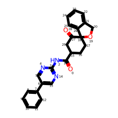 O=C(Nc1ncc(-c2ccccc2)cn1)C1CCC2(OCc3ccccc32)C(=O)C1